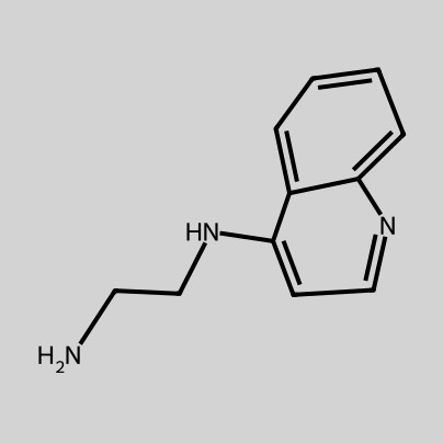 NCCNc1ccnc2ccccc12